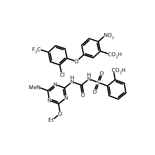 CCOc1nc(NC)nc(NC(=O)NS(=O)(=O)c2ccccc2C(=O)O)n1.O=C(O)c1cc(Oc2ccc(C(F)(F)F)cc2Cl)ccc1[N+](=O)[O-]